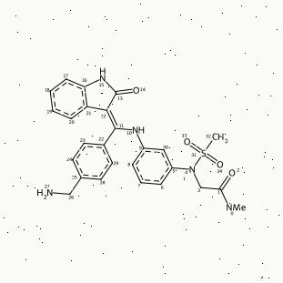 CNC(=O)CN(c1cccc(N/C(=C2\C(=O)Nc3ccccc32)c2ccc(CN)cc2)c1)S(C)(=O)=O